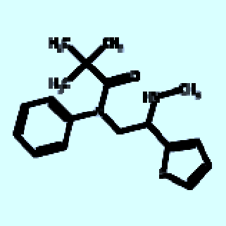 CNC(CN(C(=O)C(C)(C)C)c1ccccc1)c1cccs1